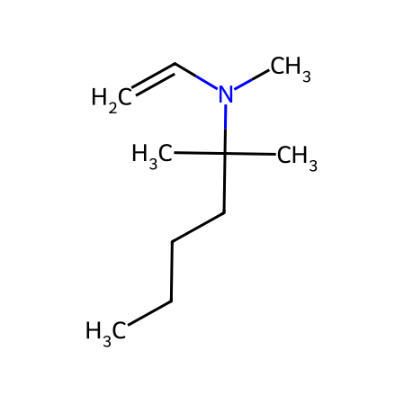 C=CN(C)C(C)(C)CCCC